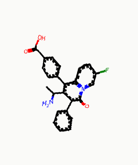 CC(N)c1c(-c2ccccc2)c(=O)n2cc(F)ccc2c1-c1ccc(C(=O)O)cc1